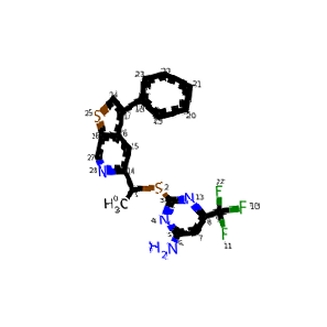 CC(Sc1nc(N)cc(C(F)(F)F)n1)c1cc2c(-c3ccccc3)csc2cn1